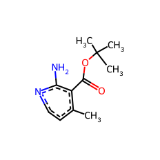 Cc1ccnc(N)c1C(=O)OC(C)(C)C